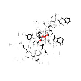 CSCC[C@H](NC(=O)[C@H](Cc1c[nH]c2ccccc12)NC(=O)CNC(=O)[C@H](Cc1ccc(O)cc1)NC(=O)[C@H](C)NC(=O)[C@H](CCC(=O)O)NC(=O)[C@H](CCC(=O)O)NC(=O)[C@H](CCC(=O)O)NC(=O)[C@H](CCC(=O)O)NC(=O)[C@H](CCC(=O)O)NC(=O)[C@H](N)CCC(=O)O)C(=O)N[C@@H](CC(=O)O)C(=O)N[C@@H](Cc1ccccc1)C(N)=O